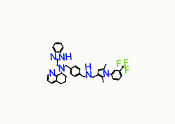 Cc1cc(CNCc2ccc(CN(Cc3nc4ccccc4[nH]3)C3CCCc4cccnc43)cc2)c(C)n1-c1cccc(C(F)(F)F)c1